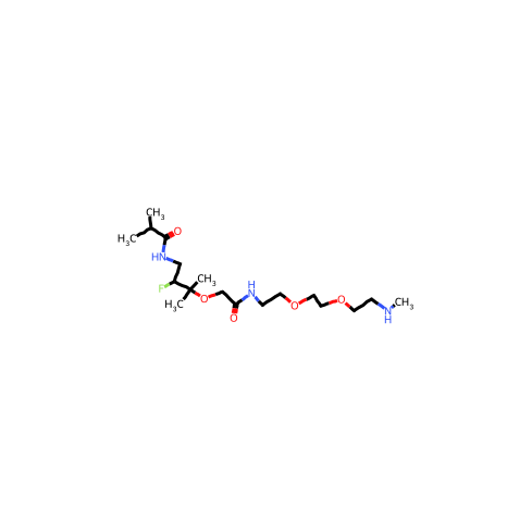 CNCCOCCOCCNC(=O)COC(C)(C)C(F)CNC(=O)C(C)C